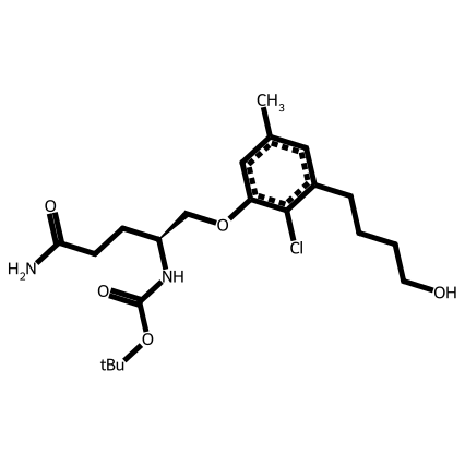 Cc1cc(CCCCO)c(Cl)c(OC[C@H](CCC(N)=O)NC(=O)OC(C)(C)C)c1